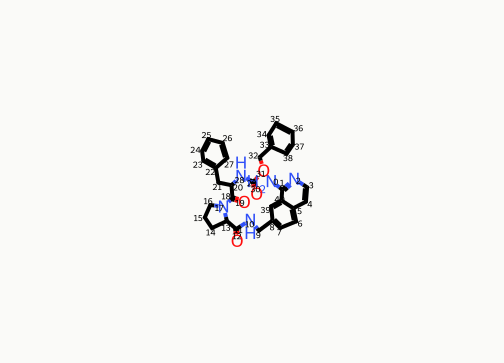 Nc1nccc2ccc(CNC(=O)C3CCCN3C(=O)C(Cc3ccccc3)NC(=O)OCc3ccccc3)cc12